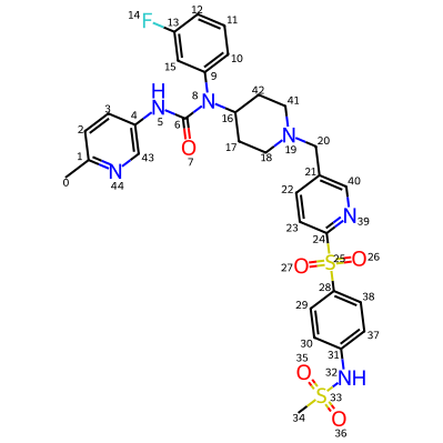 Cc1ccc(NC(=O)N(c2cccc(F)c2)C2CCN(Cc3ccc(S(=O)(=O)c4ccc(NS(C)(=O)=O)cc4)nc3)CC2)cn1